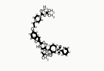 CC(C)C[C@H](NC(=O)c1cc2cc(OCCN3CCN(C(=O)OC(C)(C)C)CC3)ccc2o1)C(=O)NC1CCCN(S(=O)(=O)c2ccccn2)CC1O